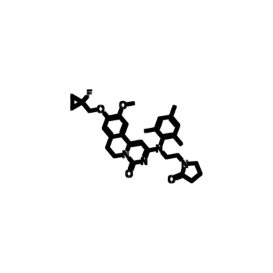 COc1cc2c(cc1OCC1(F)CC1)CCn1c-2cc(N(CCN2CCCC2=O)c2c(C)cc(C)cc2C)nc1=O